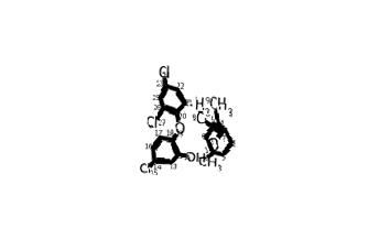 CC12CCC(CC1)C(C)(C)O2.Oc1cc(Cl)ccc1Oc1ccc(Cl)cc1Cl